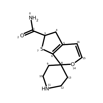 NC(=O)C1CC2=C(S1)C1(CCNCC1)OC=C2